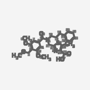 COCc1c(OC)cc(C(=O)N(CCCc2ccccc2)Cc2nc(C(=O)O)c(C)s2)cc1OC